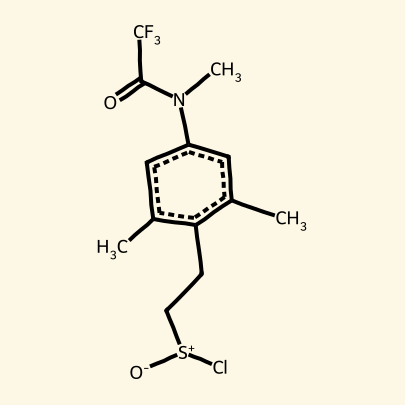 Cc1cc(N(C)C(=O)C(F)(F)F)cc(C)c1CC[S+]([O-])Cl